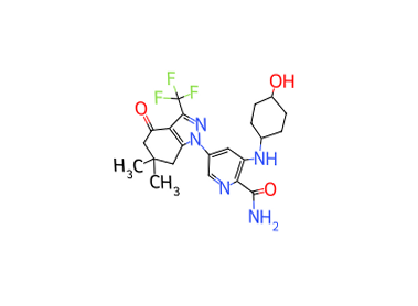 CC1(C)CC(=O)c2c(C(F)(F)F)nn(-c3cnc(C(N)=O)c(NC4CCC(O)CC4)c3)c2C1